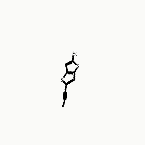 CC#Cc1cc2sc(CC)cc2s1